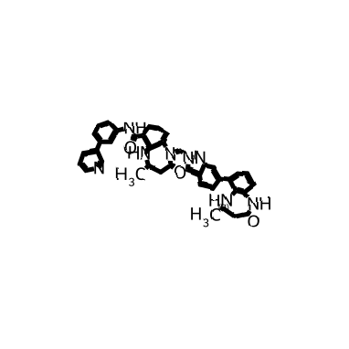 CC1CC(=O)N(Cn2cc3ccc(-c4cccc5c4N[C@H](C)CC(=O)N5)cc3n2)c2cccc(C(=O)Nc3cccc(-c4cccnc4)c3)c2N1